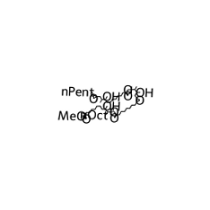 CCCCCCCCC(C(O)CCCCCCCC(=O)OC)C(C)(C)OC(=O)CCCCCCCC1OC1CC(O)C(C)C(C)(C)OC(=O)CCCCCCCC(O)C(C)CC1OC1CCCCC